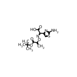 C=C(O/N=C(/C(=O)O)c1csc(N)n1)C(=O)OC(C)(C)C